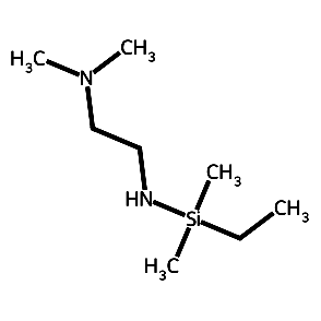 CC[Si](C)(C)NCCN(C)C